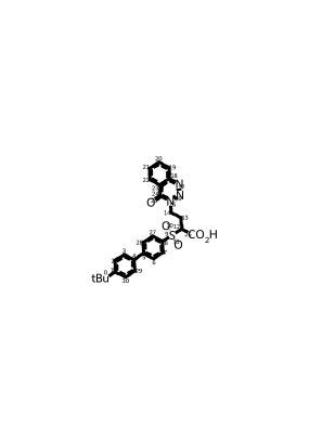 CC(C)(C)c1ccc(-c2ccc(S(=O)(=O)C(CCn3nnc4ccccc4c3=O)C(=O)O)cc2)cc1